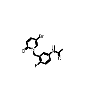 CC(=O)Nc1ccc(F)c(Cn2cc(Br)ccc2=O)c1